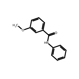 COc1cccc(C(=O)Nc2c[c]ccc2)c1